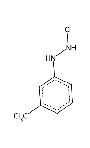 ClNNc1cccc(C(Cl)(Cl)Cl)c1